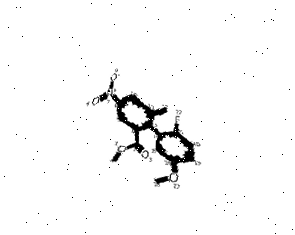 COC(=O)c1cc([N+](=O)[O-])cc(C)c1-c1cc(OC)ccc1F